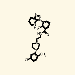 Cc1ccc(Cl)cc1N1CCN(CCNC(=O)c2cccc(-n3nnc4cccnc43)c2C)CC1